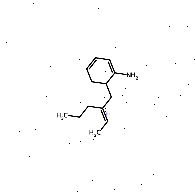 C/C=C(\CCC)CC1CC=CC=C1N